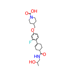 CC(O)CNC(=O)C1CC=C(c2ccc(OCC3CCN(C(=O)O)CC3)cc2F)CC1